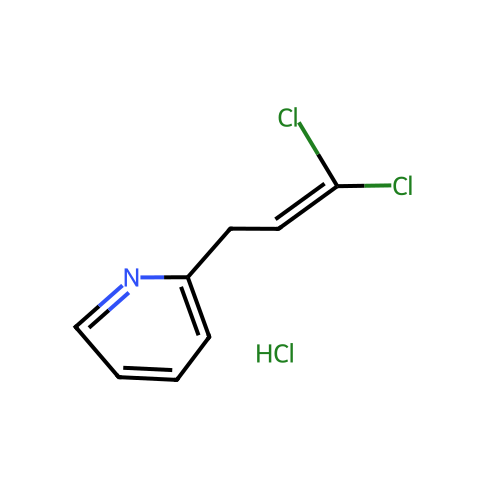 Cl.ClC(Cl)=CCc1ccccn1